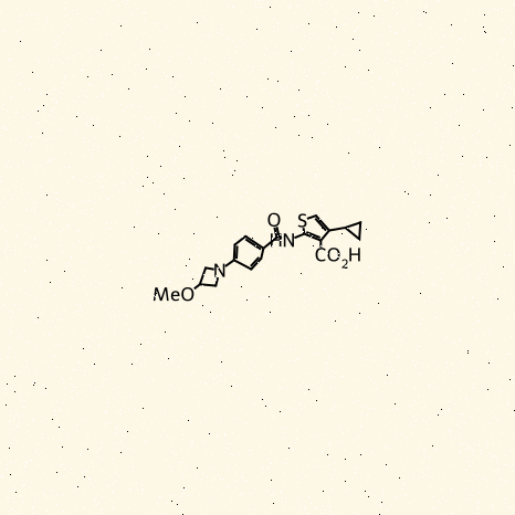 COC1CN(c2ccc(C(=O)Nc3scc(C4CC4)c3C(=O)O)cc2)C1